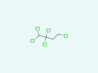 ClCCC(Cl)(Cl)C(Cl)Cl